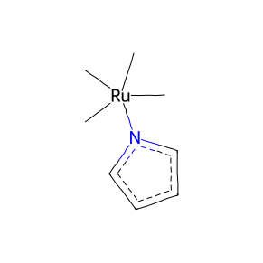 [CH3][Ru]([CH3])([CH3])([CH3])[n]1cccc1